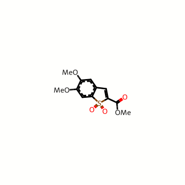 COC(=O)C1=Cc2cc(OC)c(OC)cc2S1(=O)=O